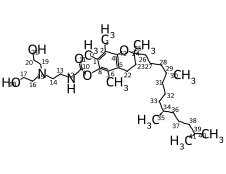 Cc1c(C)c2c(c(C)c1OC(=O)NCCN(CCO)CCO)CC[C@@](C)(CCC[C@H](C)CCC[C@H](C)CCCC(C)C)O2